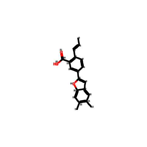 CC=Cc1ccc(-c2cc3cc(C)c(C)cc3o2)cc1C(=O)O